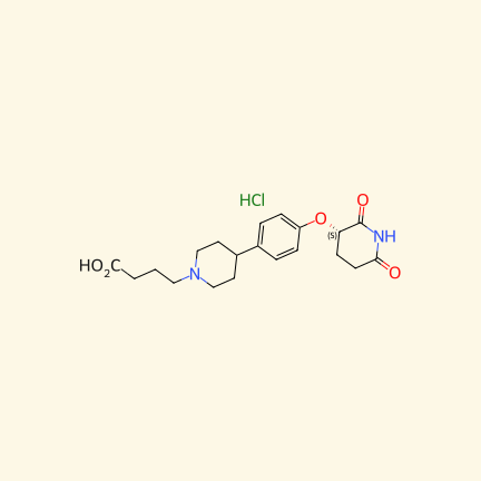 Cl.O=C(O)CCCN1CCC(c2ccc(O[C@H]3CCC(=O)NC3=O)cc2)CC1